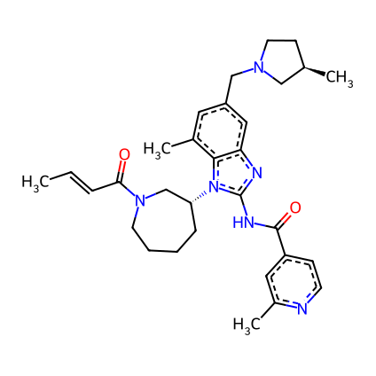 C/C=C/C(=O)N1CCCC[C@@H](n2c(NC(=O)c3ccnc(C)c3)nc3cc(CN4CC[C@@H](C)C4)cc(C)c32)C1